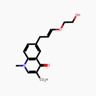 Cn1cc(C(=O)O)c(=O)c2cc(C/C=C/OCCO)ccc21